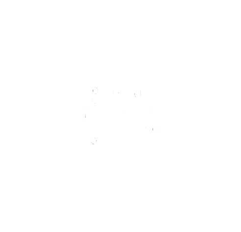 O=C1C=CC(=O)C(C(=O)c2ccc(Cl)cc2Cl)=C1